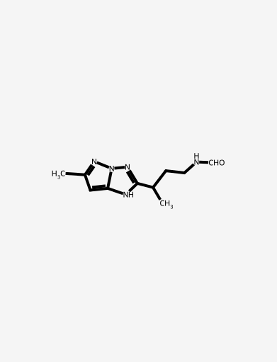 Cc1cc2[nH]c(C(C)CCNC=O)nn2n1